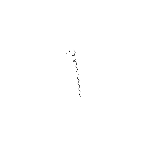 CCCCCCCCCCCCCC(=O)OC(CC)OC(C)C